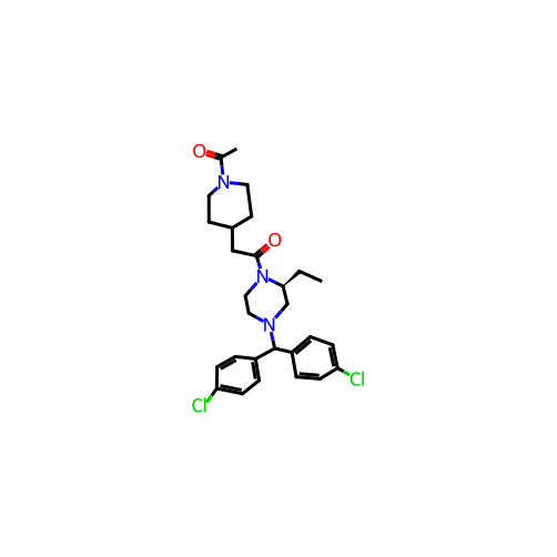 CC[C@H]1CN(C(c2ccc(Cl)cc2)c2ccc(Cl)cc2)CCN1C(=O)CC1CCN(C(C)=O)CC1